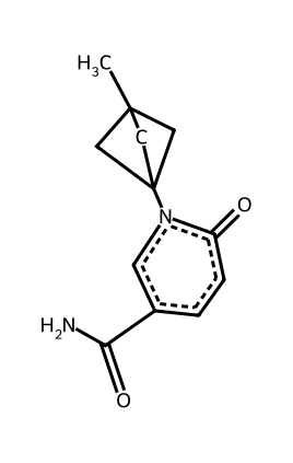 CC12CC(n3cc(C(N)=O)ccc3=O)(C1)C2